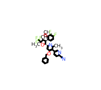 COc1c([C@H]2[C@H](c3cc(OCc4ccccc4)c(-c4ccc(C#N)nc4)c(C)n3)O[C@@](C)(C(F)(F)F)[C@H]2C)ccc(F)c1F